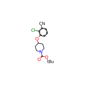 CC(C)(C)OC(=O)N1CCC(Oc2cccc(C#N)c2Cl)CC1